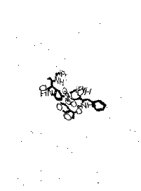 CC(NCC(C)C)=C1C(=O)Nc2ccc(S(=O)(=O)N(CC(C)C)CC(O)C(Cc3ccccc3)NC(=O)OC3COC4OCCC34)cc21